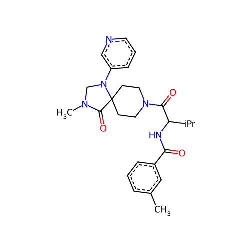 Cc1cccc(C(=O)NC(C(=O)N2CCC3(CC2)C(=O)N(C)CN3c2cccnc2)C(C)C)c1